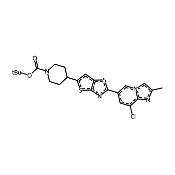 Cc1cn2cc(-c3nc4sc(C5CCN(C(=O)OC(C)(C)C)CC5)cc4s3)cc(Cl)c2n1